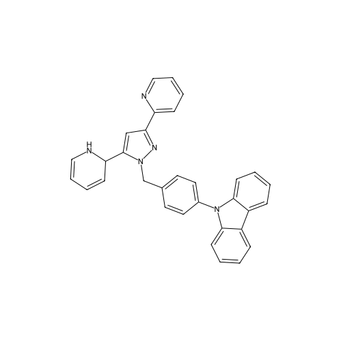 C1=CNC(c2cc(-c3ccccn3)nn2Cc2ccc(-n3c4ccccc4c4ccccc43)cc2)C=C1